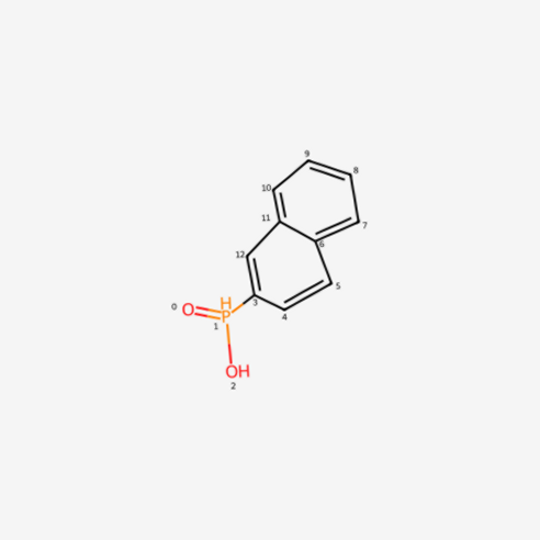 O=[PH](O)c1ccc2ccccc2c1